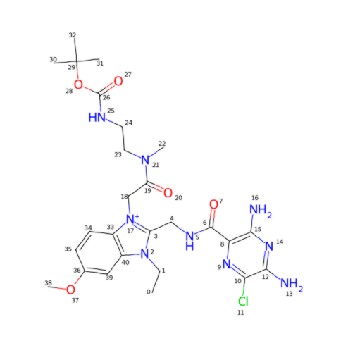 CCn1c(CNC(=O)c2nc(Cl)c(N)nc2N)[n+](CC(=O)N(C)CCNC(=O)OC(C)(C)C)c2ccc(OC)cc21